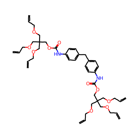 C=CCOCC(COCC=C)(COCC=C)COC(=O)Nc1ccc(Cc2ccc(NC(=O)OCC(COCC=C)(COCC=C)COCC=C)cc2)cc1